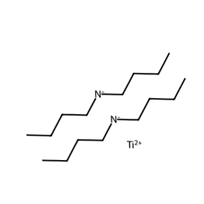 CCCC[N-]CCCC.CCCC[N-]CCCC.[Ti+2]